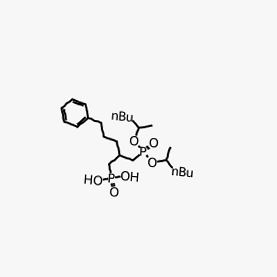 CCCCC(C)OP(=O)(CC(CCCc1ccccc1)CP(=O)(O)O)OC(C)CCCC